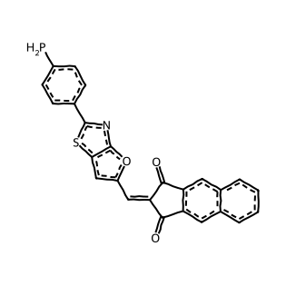 O=C1C(=Cc2cc3sc(-c4ccc(P)cc4)nc3o2)C(=O)c2cc3ccccc3cc21